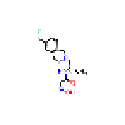 C[C@@H](CN1CCc2cc(CF)ccc2C1)NC(=O)/C=N\O